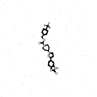 O=C(OCc1ccc(C(F)(F)F)cc1)N1CCC(n2ccc(-c3ccc4oc(=O)[nH]c4c3)n2)CC1